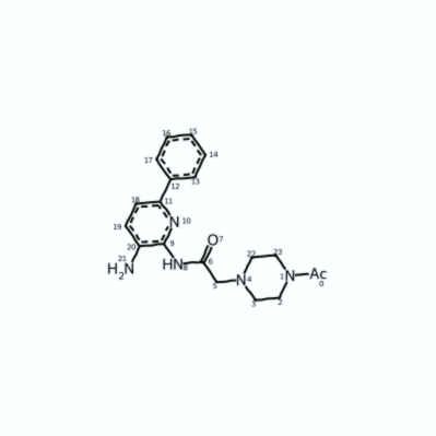 CC(=O)N1CCN(CC(=O)Nc2nc(-c3ccccc3)ccc2N)CC1